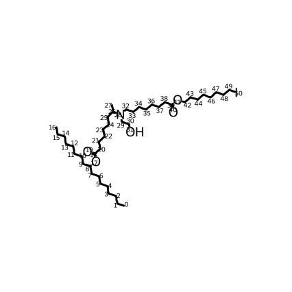 CCCCCCCCC(CCCCCCCC)OC(=O)CCCCCCC(C)N(CCO)CCCCCCCC(=O)OCCCCCCCCI